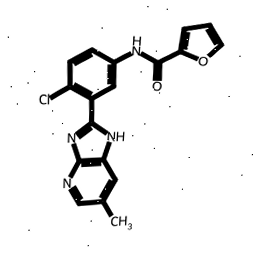 Cc1cnc2nc(-c3cc(NC(=O)c4ccco4)ccc3Cl)[nH]c2c1